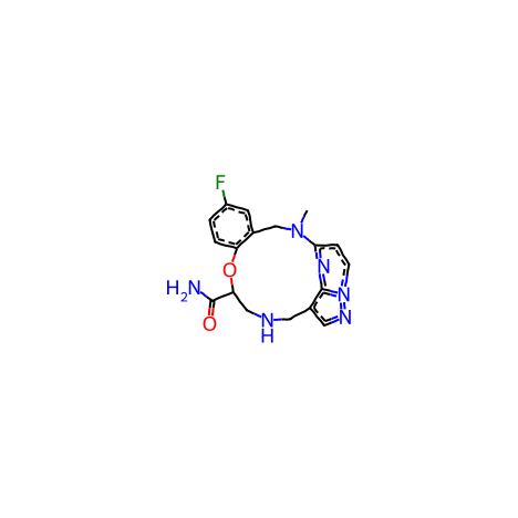 CN1Cc2cc(F)ccc2OC(C(N)=O)CNCc2cnn3ccc1nc23